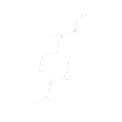 CN(C)c1ccc(NC(=O)O)cn1